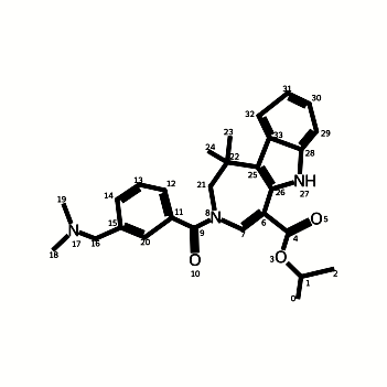 CC(C)OC(=O)C1=CN(C(=O)c2cccc(CN(C)C)c2)CC(C)(C)c2c1[nH]c1ccccc21